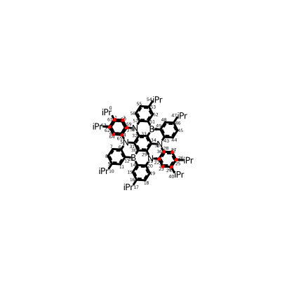 CC(C)c1ccc(N2c3ccc(C(C)C)cc3B3c4cc(C(C)C)ccc4N(c4ccc(C(C)C)cc4)c4c3c2c2c3c4N(c4ccc(C(C)C)cc4)c4ccc(C(C)C)cc4B3c3cc(C(C)C)ccc3N2c2ccc(C(C)C)cc2)cc1